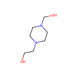 OCCN1CCN(CO)CC1